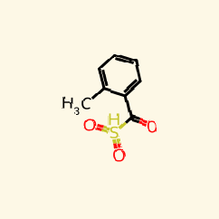 Cc1ccccc1C(=O)[SH](=O)=O